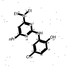 CCCc1cc(N(CC)CC)nc(Nc2cc(Cl)ccc2O)n1